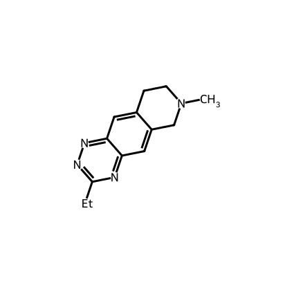 CCc1nnc2cc3c(cc2n1)CN(C)CC3